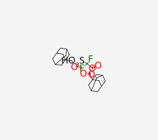 O=C(OCOCC12CC3CC(CC(C3)C1)C2)C12CC3CC(C1)C(OC(=O)C(F)(F)S(=O)(=O)O)C(C3)C2